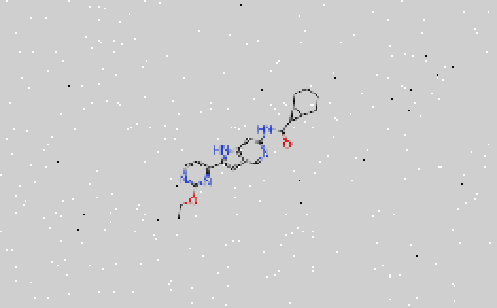 CCOc1nccc(-c2cc3cnc(NC(=O)C4C5CCCCC54)cc3[nH]2)n1